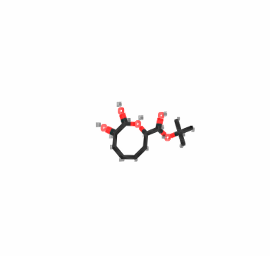 CC(C)(C)OC(=O)C1CCCCC(=O)C(=O)O1